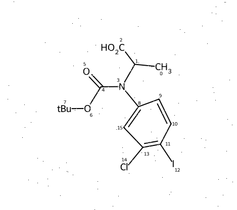 CC(C(=O)O)N(C(=O)OC(C)(C)C)c1ccc(I)c(Cl)c1